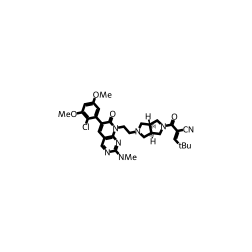 CNc1ncc2cc(-c3cc(OC)cc(OC)c3Cl)c(=O)n(CCN3C[C@@H]4CN(C(=O)C(C#N)=CC(C)(C)C)C[C@H]4C3)c2n1